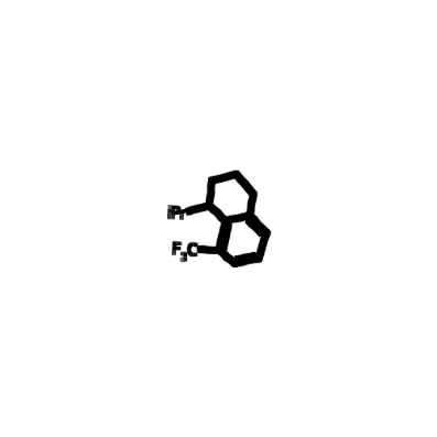 CC(C)C1CCCc2cccc(C(F)(F)F)c21